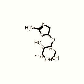 C[C@@H](O)[C@H](O)[C@@H](CO)OC1CN=C(N)S1